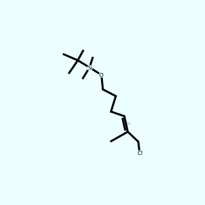 C/C(=C\CCCO[Si](C)(C)C(C)(C)C)CCl